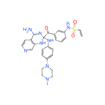 C=CS(=O)(=O)Nc1cccc(C(=O)C2(Nc3ccc(N4CCN(C)CC4)cc3)N=C(N)c3ccncc3N2)c1